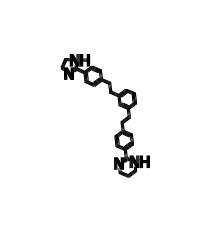 c1cc(CCc2ccc(C3=NCCCN3)cc2)cc(CCc2ccc(C3=NCCN3)cc2)c1